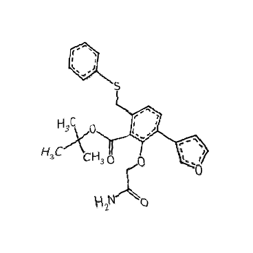 CC(C)(C)OC(=O)c1c(CSc2ccccc2)ccc(-c2ccoc2)c1OCC(N)=O